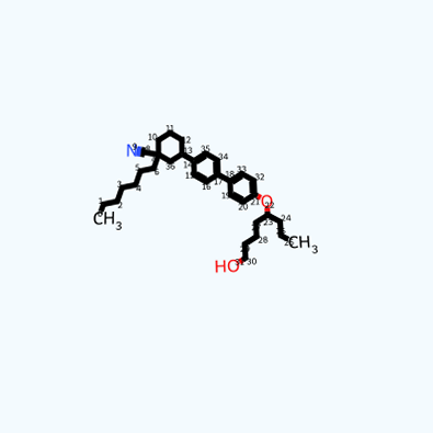 CCCCCCCC1(C#N)CCCC(c2ccc(-c3ccc(OC(CCC)CCCCO)cc3)cc2)C1